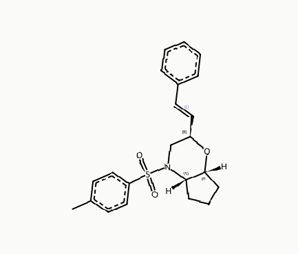 Cc1ccc(S(=O)(=O)N2C[C@@H](/C=C/c3ccccc3)O[C@@H]3CCC[C@@H]32)cc1